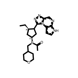 CC[C@@H]1C[C@H](N(CC2CCOCC2)C(C)=O)CC1c1nnc2cnc3[nH]ccc3n12